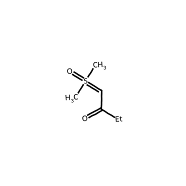 CCC(=O)C=S(C)(C)=O